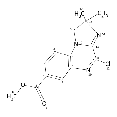 COC(=O)c1ccc2c(c1)N=C(Cl)C1=NC(C)(C)CN12